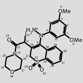 COc1cc(OC)cc(N(N)C2=C(C(I)C(=O)N3CCOCC3)CS(=O)(=O)c3ccccc32)c1